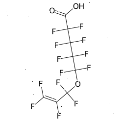 O=C(O)C(F)(F)C(F)(F)C(F)(F)C(F)(F)OC(F)(F)C(F)=C(F)F